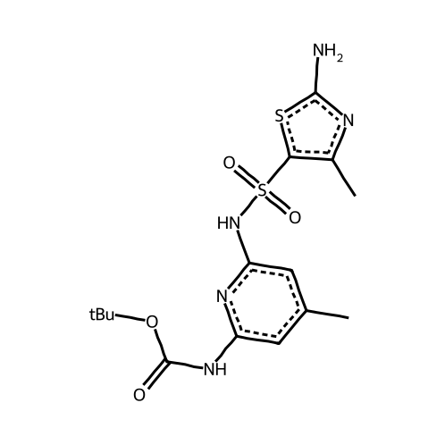 Cc1cc(NC(=O)OC(C)(C)C)nc(NS(=O)(=O)c2sc(N)nc2C)c1